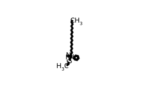 CCCCCCCCCCCCCCCCCc1nnc(SSCC)n1-c1ccccc1